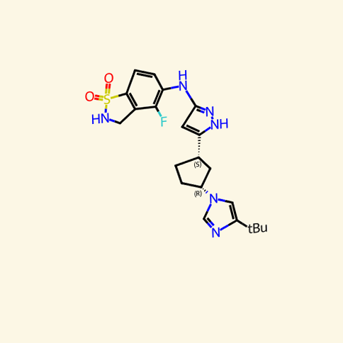 CC(C)(C)c1cn([C@@H]2CC[C@H](c3cc(Nc4ccc5c(c4F)CNS5(=O)=O)n[nH]3)C2)cn1